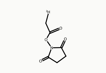 [2H]CC(=O)ON1C(=O)CCC1=O